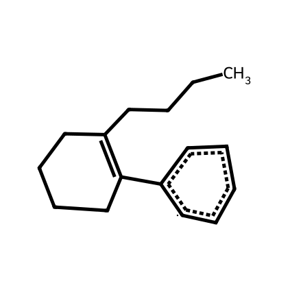 CCCCC1=C(c2[c]cccc2)CCCC1